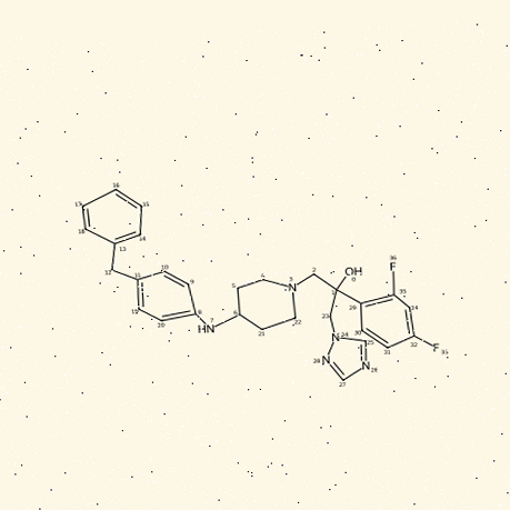 OC(CN1CCC(Nc2ccc(Cc3ccccc3)cc2)CC1)(Cn1cncn1)c1ccc(F)cc1F